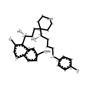 COc1ccc2ncc(Cl)c([C@H](O)CCC3([C@@H](O)CCCSc4ccc(Cl)cc4)CCNCC3)c2c1